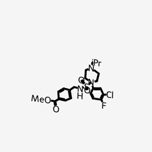 COC(=O)c1ccc(CNS(=O)(=O)[N+]2(c3ccc(F)c(Cl)c3)CCN(C(C)C)CC2)cc1